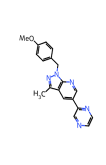 COc1ccc(Cn2nc(C)c3cc(-c4cnccn4)cnc32)cc1